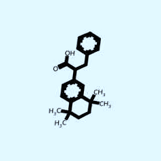 CC1(C)CCC(C)(C)c2cc(C(Cc3ccccc3)C(=O)O)ccc21